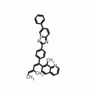 C/C=C(C)/C=C(/c1ccc(-c2nc3ccc(-c4ccccc4)cn3n2)cc1)c1ccc2cccnc2c1C